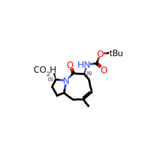 CC1=CC[C@H](NC(=O)OC(C)(C)C)C(=O)N2C(CC[C@H]2C(=O)O)C1